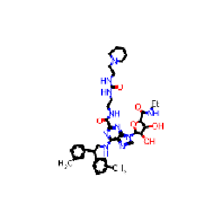 CCNC(=O)C1OC(n2cnc3c(NCC(c4cccc(C)c4)c4cccc(C)c4)nc(C(=O)NCCNC(=O)NCCN4CCCCC4)nc32)C(O)C1O